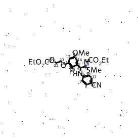 CCOC(=O)/N=C(\SC)C(Nc1ccc(C#N)cc1)c1cc(OC)cc(OCCOC(=O)OCC)c1F